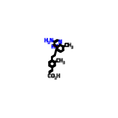 CC1=CC=CC23NC(CCc4ccc(C=CC(=O)O)cc4C)=CC=C2C(N)=CN=C13